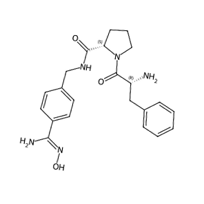 NC(=NO)c1ccc(CNC(=O)[C@@H]2CCCN2C(=O)[C@H](N)Cc2ccccc2)cc1